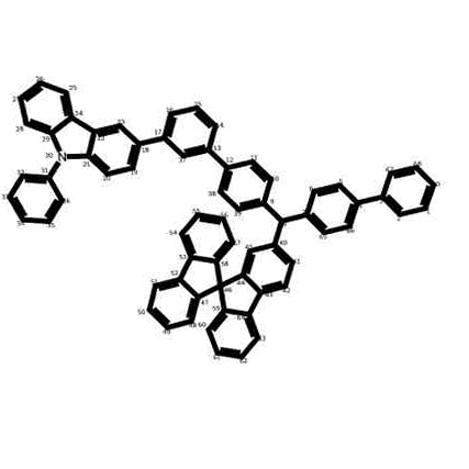 c1ccc(-c2ccc(C(c3ccc(-c4cccc(-c5ccc6c(c5)c5ccccc5n6-c5ccccc5)c4)cc3)c3ccc4c(c3)C3(c5ccccc5-c5ccccc53)c3ccccc3-4)cc2)cc1